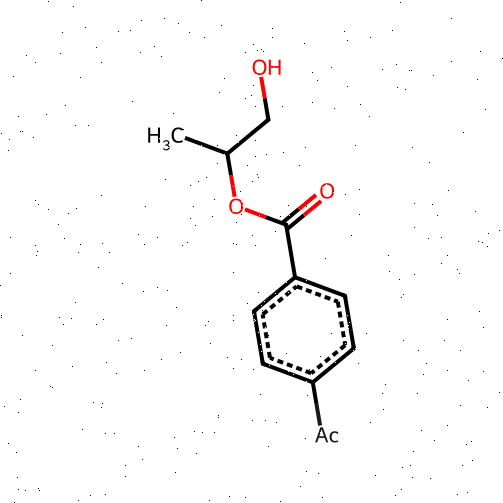 CC(=O)c1ccc(C(=O)OC(C)CO)cc1